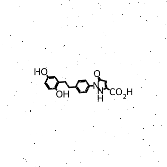 O=C(O)c1cc(=O)n(-c2ccc(CCc3cc(O)ccc3O)cc2)[nH]1